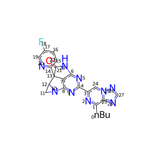 CCCCc1nc(-c2nc3c4c(n2)N2CC2C4(c2ccc(F)cn2)C(=O)N3)cn2ncnc12